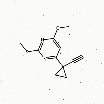 C#CC1(c2cc(OC)nc(SC)n2)CC1